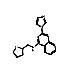 c1ccc2c(NCC3CCCO3)nc(-n3ccnc3)nc2c1